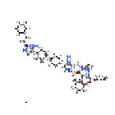 CCCN(Cc1ncc(-c2ccc(-c3ccc(-c4cnc(CCc5ccccc5)[nH]4)cc3)cc2)[nH]1)C(=O)[C@H](NC(=O)OC)c1ccccc1